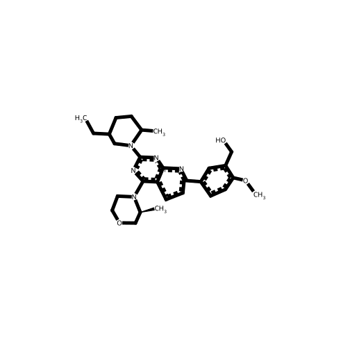 CCC1CCC(C)N(c2nc(N3CCOC[C@@H]3C)c3ccc(-c4ccc(OC)c(CO)c4)nc3n2)C1